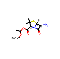 CCOC(=O)OC(C)OC(=O)[C@@H]1N2C(=O)[C@@H](N)[C@H]2SC1(C)C